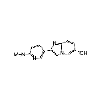 CNc1ccc(-c2cn3cc(O)ccc3n2)cn1